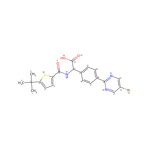 CC(C)(C)c1ccc(C(=O)NC(C(=O)O)c2ccc(-c3ncc(Br)cn3)cc2)s1